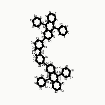 c1ccc(-c2c3ccccc3c(-c3ccccc3)c3cc(-c4ccc5oc6ccc(-c7ccc8c(-c9ccccc9)c9ccccc9c(-c9ccccc9)c8c7)cc6c5c4)ccc23)cc1